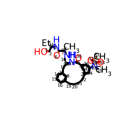 CC[C@H](CO)NC(=O)[C@H](C)NC[C@@H]1Cc2cccc(c2)CCCCc2cc(cc(N(C)S(C)(=O)=O)c2)C(=O)N1